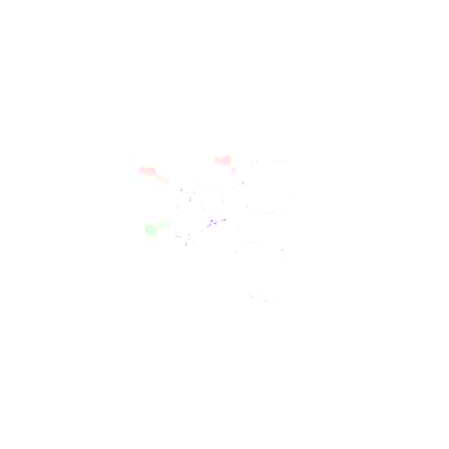 CN(C)C(c1ccccc1)C1CCCCC1(O)c1ccc(Cl)c(O)c1